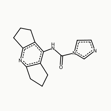 O=C(Nc1c2c(nc3c1CCC3)CCC2)n1ccnc1